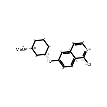 CO[C@@H]1CCC[C@H](Oc2ccc3c(Cl)nccc3c2)C1